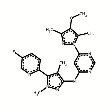 COc1c(C)nn(-c2cc(Nc3nn(C)c(-c4ccc(F)cn4)c3C)ncn2)c1C